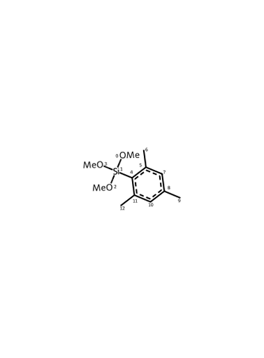 CO[Si](OC)(OC)c1c(C)cc(C)cc1C